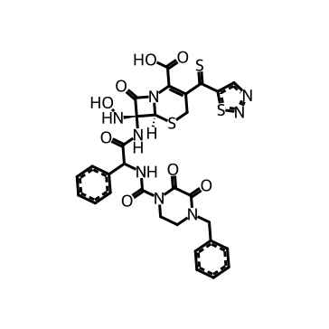 O=C(O)C1=C(C(=S)c2cnns2)CS[C@@H]2N1C(=O)[C@@]2(NO)NC(=O)C(NC(=O)N1CCN(Cc2ccccc2)C(=O)C1=O)c1ccccc1